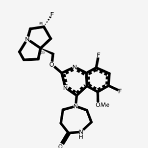 COc1c(F)cc(F)c2nc(OC[C@@]34CCCN3C[C@H](F)C4)nc(N3CCNC(=O)CC3)c12